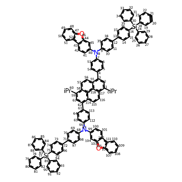 CC(C)c1cc(-c2ccc(N(c3ccc(-c4ccc([Si](c5cc#ccc5)(c5ccccc5)c5ccccc5)cc4)cc3)c3ccc4c(c3)oc3ccccc34)cc2)c2ccc3c(C(C)C)cc(-c4ccc(N(c5ccc(-c6ccc([Si](c7ccccc7)(c7ccccc7)c7ccccc7)cc6)cc5)c5ccc6c(c5)oc5ccccc56)cc4)c4ccc1c2c43